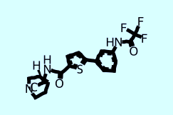 O=C(N[C@H]1CN2CCC1CC2)c1ccc(-c2cccc(NC(=O)C(F)(F)F)c2)s1